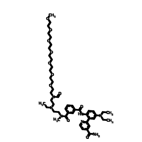 CCN(CCN(C=O)CCOCCOCCOCCOCCOCCOCCOC)CCN(C)C(=O)c1cccc(C(=O)Nc2ccc(N(CC)CC)cc2-c2cc(C(N)=O)ccn2)c1